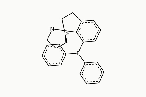 c1ccc(P(c2ccccc2)c2cccc3c2[C@@]2(CCCN2)CC3)cc1